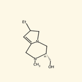 CCC1C=C2CN(C)[C@@H](CO)CN2C1